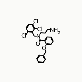 NCCCN(Cc1c(Cl)ccc(Cl)c1Cl)C(=O)c1ccccc1OCc1ccccc1